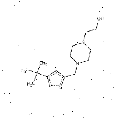 CC(C)(C)c1csc(CN2CCN(CCO)CC2)c1